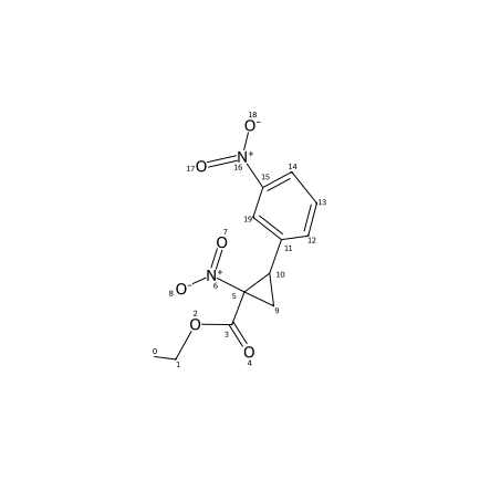 CCOC(=O)C1([N+](=O)[O-])CC1c1cccc([N+](=O)[O-])c1